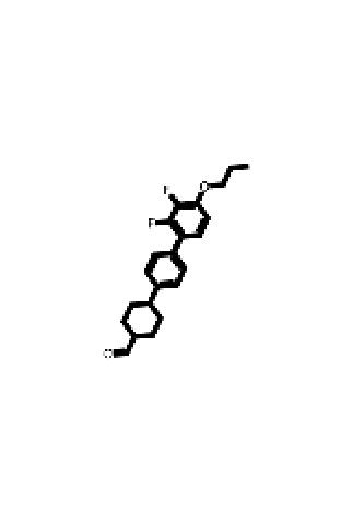 CCCOc1ccc(-c2ccc(C3CCC(C=O)CC3)cc2)c(F)c1F